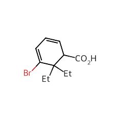 CCC1(CC)C(Br)=CC=CC1C(=O)O